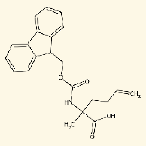 C=CCCC(C)(NC(=O)OCC1c2ccccc2-c2ccccc21)C(=O)O